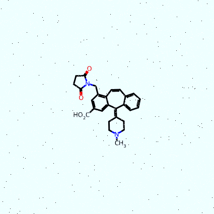 CN1CCC(=C2c3ccccc3C=Cc3c(CN4C(=O)CCC4=O)cc(C(=O)O)cc32)CC1